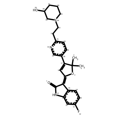 CC1(C)O/C(=C2/C(=O)Nc3cc(F)ccc32)C=C1c1ccc(CCN2CCCC(O)C2)nc1